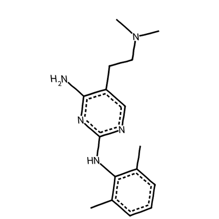 Cc1cccc(C)c1Nc1ncc(CCN(C)C)c(N)n1